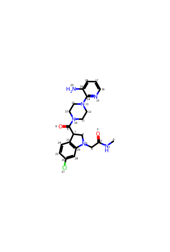 CNC(=O)CN1CC(C(=O)N2CCN(c3ncccc3N)CC2)c2ccc(Cl)cc21